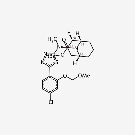 COCOc1cc(Cl)ccc1-c1nnc(N(C)[C@@H]2C[C@H]3CCC[C@@H]([C@@H]2F)N3C(=O)OC(C)(C)C)s1